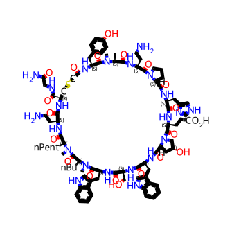 CCCCC[C@H]1C(=O)N[C@@H](CCN)C(=O)N[C@H](C(=O)NCC(N)=O)CSCC(=O)N[C@@H](Cc2ccc(O)cc2)C(=O)N(C)[C@@H](C)C(=O)N[C@@H](CCN)C(=O)N2CCC[C@H]2C(=O)N[C@@H](Cc2c[nH]cn2)C(=O)N[C@@H](CCC(=O)O)C(=O)N2C[C@H](O)C[C@H]2C(=O)N[C@@H](Cc2c[nH]c3ccccc23)C(=O)N[C@@H](CO)C(=O)N[C@@H](Cc2c[nH]c3ccccc23)C(=O)N(C)[C@@H](CCCC)C(=O)N1C